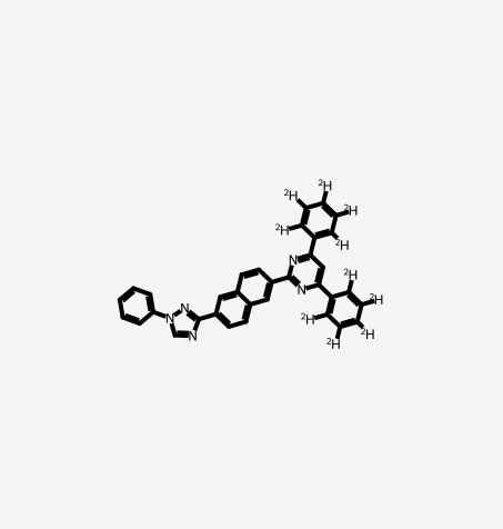 [2H]c1c([2H])c([2H])c(-c2cc(-c3c([2H])c([2H])c([2H])c([2H])c3[2H])nc(-c3ccc4cc(-c5ncn(-c6ccccc6)n5)ccc4c3)n2)c([2H])c1[2H]